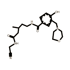 CC(CCNC(=O)c1ccc(O)c(CN2CCOCC2)c1)CC(=O)NCC#N